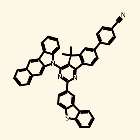 CC1(C)c2cc(-c3ccc(C#N)cc3)ccc2-c2nc(-c3ccc4sc5ccccc5c4c3)nc(-n3c4ccccc4c4cc5ccccc5cc43)c21